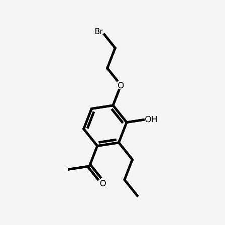 CCCc1c(C(C)=O)ccc(OCCBr)c1O